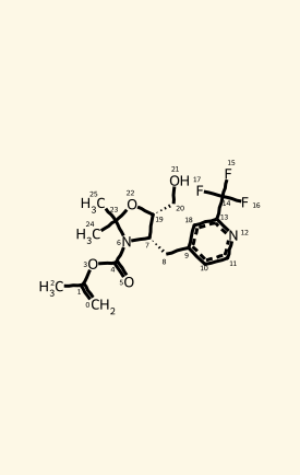 C=C(C)OC(=O)N1[C@@H](Cc2ccnc(C(F)(F)F)c2)[C@@H](CO)OC1(C)C